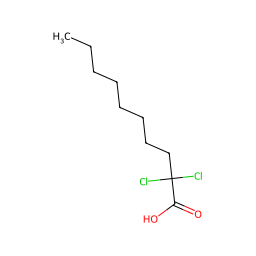 CCCCCCCCC(Cl)(Cl)C(=O)O